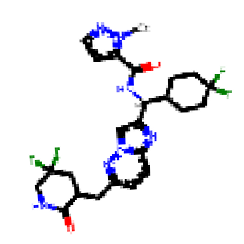 CCn1nccc1C(=O)N[C@H](c1cn2nc(CC3CC(F)(F)CNC3=O)ccc2n1)C1CCC(F)(F)CC1